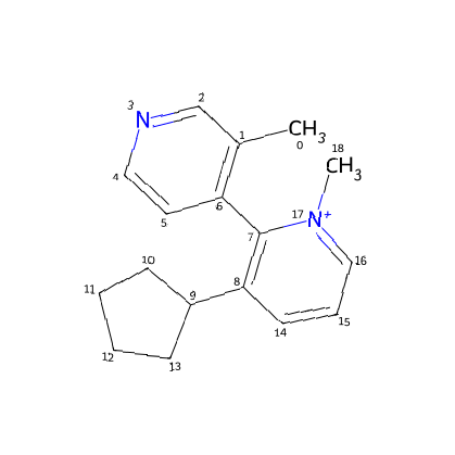 Cc1cnccc1-c1c(C2CCCC2)ccc[n+]1C